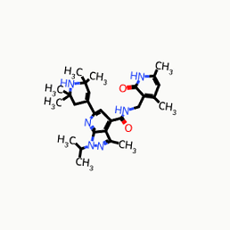 Cc1cc(C)c(CNC(=O)c2cc(C3=CC(C)(C)NC(C)(C)C3)nc3c2c(C)nn3C(C)C)c(=O)[nH]1